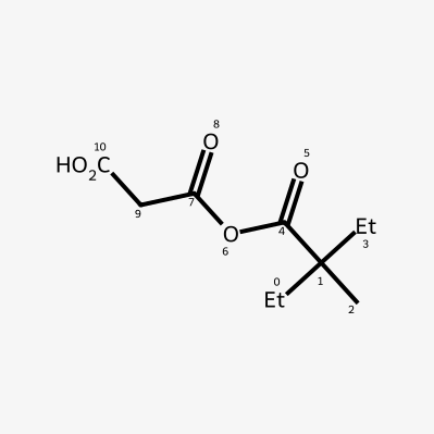 CCC(C)(CC)C(=O)OC(=O)CC(=O)O